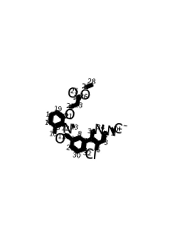 [C-]#[N+]c1cc(C)c(-c2cc(C(=O)N(C)c3c(C)cccc3OCCC(=O)OCC)ccc2Cl)cn1